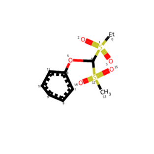 CCS(=O)(=O)[C](Oc1ccccc1)S(C)(=O)=O